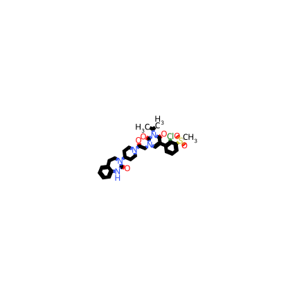 CC(C)n1c(=O)c(-c2cccc(S(C)(=O)=O)c2Cl)cn(CC(=O)N2CCC(N3CCc4ccccc4NC3=O)CC2)c1=O